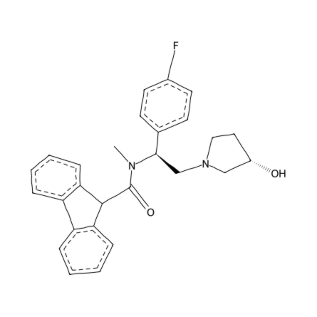 CN(C(=O)C1c2ccccc2-c2ccccc21)[C@H](CN1CC[C@H](O)C1)c1ccc(F)cc1